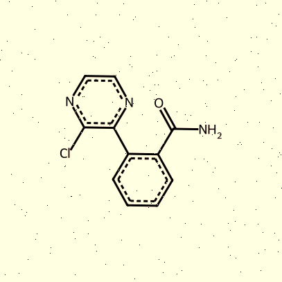 NC(=O)c1ccccc1-c1nccnc1Cl